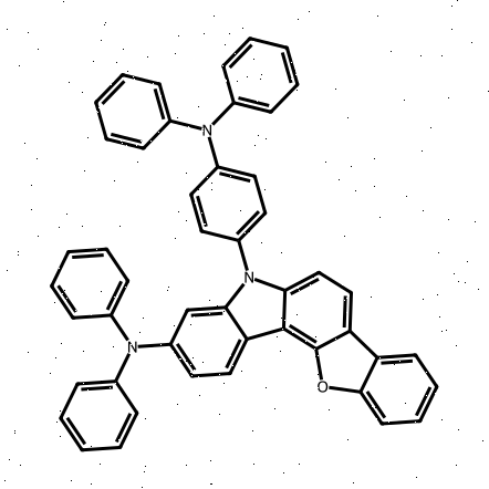 c1ccc(N(c2ccccc2)c2ccc(-n3c4cc(N(c5ccccc5)c5ccccc5)ccc4c4c5oc6ccccc6c5ccc43)cc2)cc1